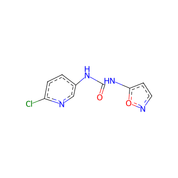 O=C(Nc1ccc(Cl)nc1)Nc1ccno1